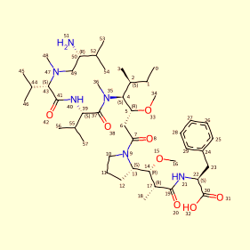 CC[C@H](C)[C@@H]([C@@H](CC(=O)N1CCC[C@H]1[C@H](OC)[C@@H](C)C(=O)N[C@@H](Cc1ccccc1)C(=O)O)OC)N(C)C(=O)[C@@H](NC(=O)[C@H](C(C)C)N(C)C[C@H](N)C(C)C)C(C)C